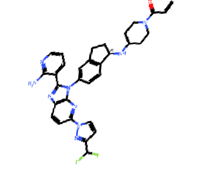 C=CC(=O)N1CCC(N[C@@H]2CCc3cc(-n4c(-c5cccnc5N)nc5ccc(-n6ccc(C(F)F)n6)nc54)ccc32)CC1